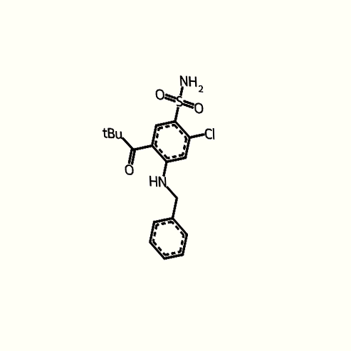 CC(C)(C)C(=O)c1cc(S(N)(=O)=O)c(Cl)cc1NCc1ccccc1